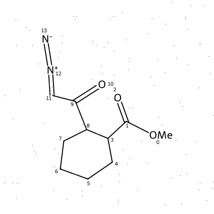 COC(=O)C1CCCCC1C(=O)C=[N+]=[N-]